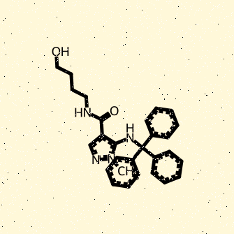 Cn1ncc(C(=O)NCCCCO)c1NC(c1ccccc1)(c1ccccc1)c1ccccc1